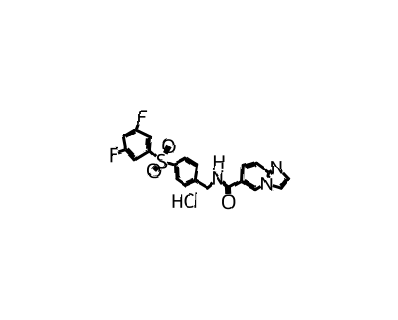 Cl.O=C(NCc1ccc(S(=O)(=O)c2cc(F)cc(F)c2)cc1)c1ccc2nccn2c1